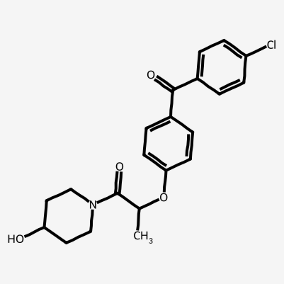 CC(Oc1ccc(C(=O)c2ccc(Cl)cc2)cc1)C(=O)N1CCC(O)CC1